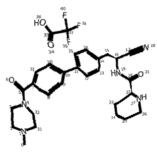 CN1CCN(C(=O)c2ccc(-c3ccc(C[C@@H](C#N)NC(=O)[C@@H]4CCCCN4)cc3)cc2)CC1.O=C(O)C(F)(F)F